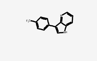 FC(F)(F)c1ccc(-c2c[nH]c3cccnc23)cc1